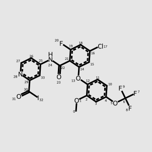 COc1cc(OC(F)(F)F)ccc1Oc1cc(Cl)cc(F)c1C(=O)Nc1ccnc(C(=O)I)c1